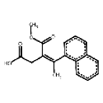 COC(=O)C(CC(=O)O)=C(C)c1cccc2ccccc12